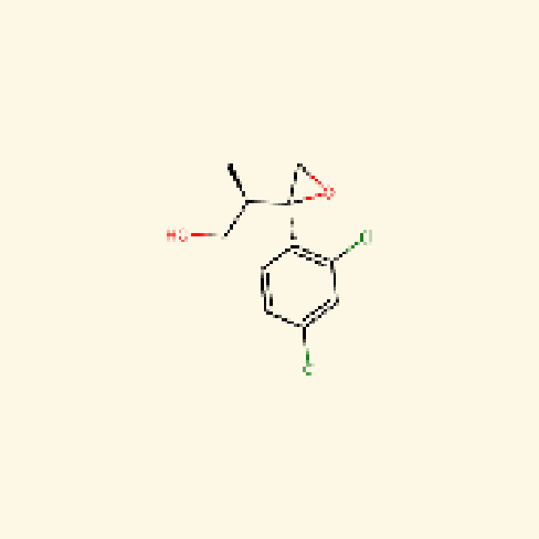 C[C@H](CO)[C@@]1(c2ccc(Cl)cc2Cl)CO1